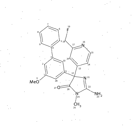 COc1cc(-c2ccccc2)cc(C2(c3ccnc(CF)c3)N=C(N)N(C)C2=O)c1